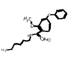 COc1cc(Oc2ccccc2)ccc1C(=O)NCCCCCN.Cl